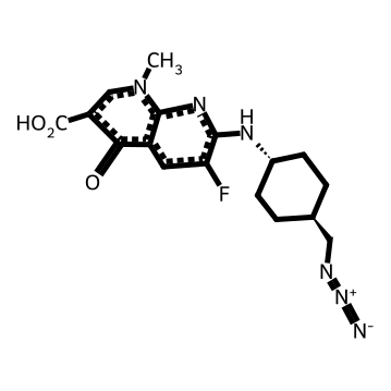 Cn1cc(C(=O)O)c(=O)c2cc(F)c(N[C@H]3CC[C@H](CN=[N+]=[N-])CC3)nc21